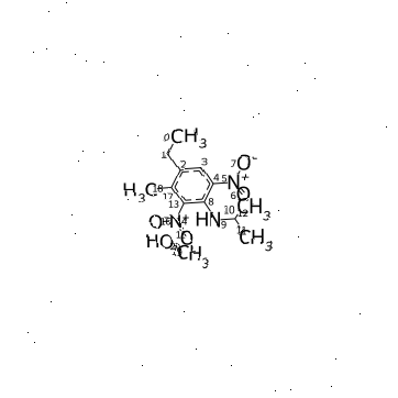 CCc1cc([N+](=O)[O-])c(NC(C)C)c([N+](=O)[O-])c1C.CO